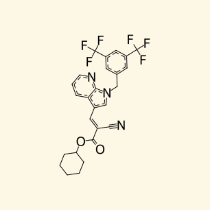 N#C/C(=C\c1cn(Cc2cc(C(F)(F)F)cc(C(F)(F)F)c2)c2ncccc12)C(=O)OC1CCCCC1